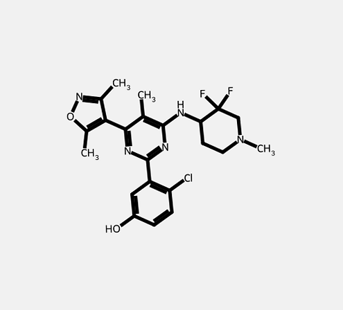 Cc1noc(C)c1-c1nc(-c2cc(O)ccc2Cl)nc(NC2CCN(C)CC2(F)F)c1C